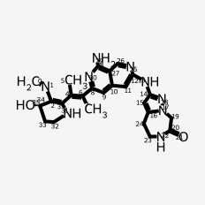 C=NC1=C(/C(C)=C(\C)c2cc3cc(Nc4cc5n(n4)CC(=O)NCC5)ncc3c(N)n2)NCC[C@@H]1O